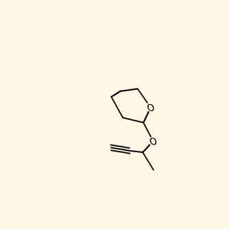 C#CC(C)OC1CCCCO1